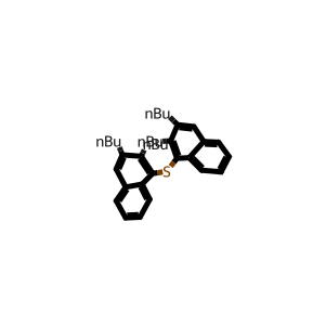 CCCCc1cc2ccccc2c(Sc2c(CCCC)c(CCCC)cc3ccccc23)c1CCCC